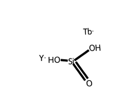 O=[Si](O)O.[Tb].[Y]